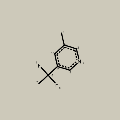 Cc1cncc(C(C)(F)F)c1